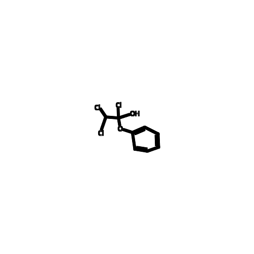 OC(Cl)(Oc1ccccc1)C(Cl)Cl